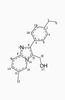 CCc1ccc(-c2nc3ccc(C)cn3c2CO)cc1